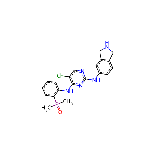 CP(C)(=O)c1ccccc1Nc1nc(Nc2ccc3c(c2)CNC3)ncc1Cl